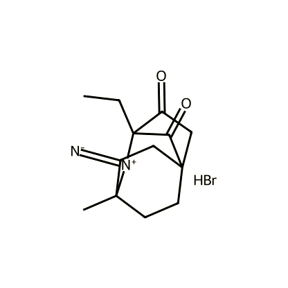 Br.CCC12C(=O)CC3(CCC(C)(CC3)[N+]1=[N-])C2=O